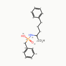 O=C(O)C(CCCc1ccccc1)NP(=O)(O)Cc1ccccc1